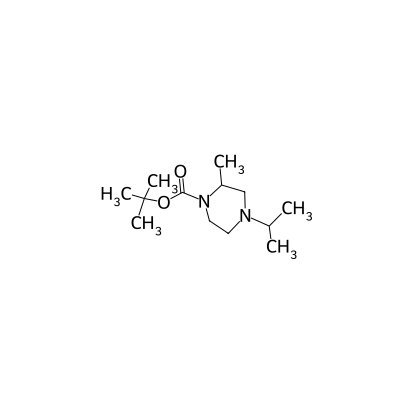 CC(C)N1CCN(C(=O)OC(C)(C)C)C(C)C1